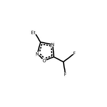 CCc1noc(C(F)F)n1